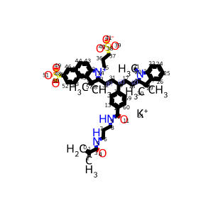 C=C(C)C(=O)NCCCNC(=O)c1ccc(C(=C\C=C2/N(C)c3ccccc3C2(C)C)/C=C/C2=[N+](CCCS(=O)(=O)[O-])c3ccc4cc(S(=O)(=O)[O-])ccc4c3C2(C)C)cc1.[K+]